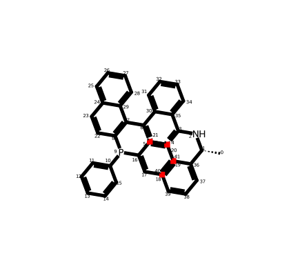 C[C@@H](Nc1nnc(-c2c(P(c3ccccc3)c3ccccc3)ccc3ccccc23)c2ccccc12)c1ccccc1